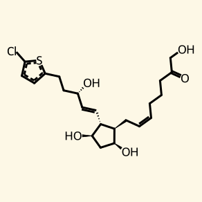 O=C(CO)CCC/C=C\C[C@@H]1[C@@H](/C=C/[C@@H](O)CCc2ccc(Cl)s2)[C@H](O)C[C@@H]1O